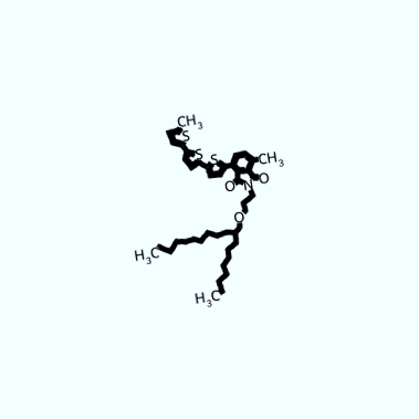 CCCCCCCCCCC(CCCCCCCC)COCCCN1C(=O)c2c(C)ccc(-c3ccc(-c4ccc(-c5ccc(C)s5)s4)s3)c2C1=O